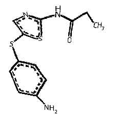 CCC(=O)Nc1ncc(Sc2ccc(N)cc2)s1